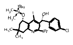 CC(C)c1nc2c(c(I)c1[C@H](O)c1ccc(Cl)cc1)[C@@H](O[Si](C)(C)C(C)(C)C)CC(C)(C)C2